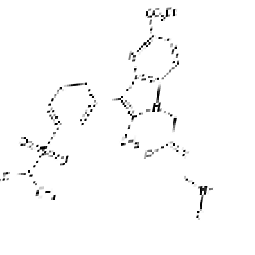 CCOC(=O)c1ccc2c(n1)c(-c1cccc(S(=O)(=O)N(C)C)c1)c(C)n2C/C(F)=C/CNCl